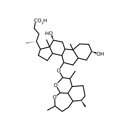 CC1CCC2C3C(O1)OC(OC1CC4C[C@H](O)CCC4(C)C4C[C@H](O)C5(C)C(CCC5[C@H](C)CCC(=O)O)C14)C(C)C3CC[C@H]2C